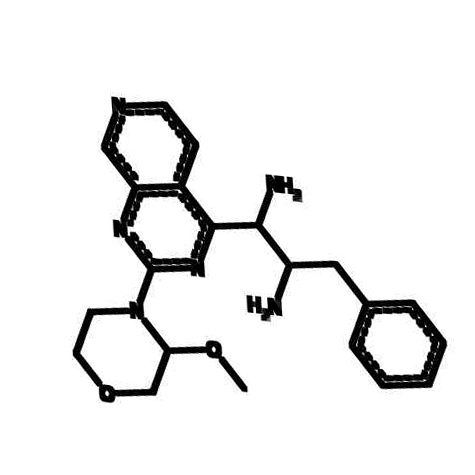 COC1COCCN1c1nc(C(N)C(N)Cc2ccccc2)c2ccncc2n1